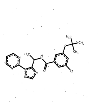 CC(NC(=O)c1cc(Cl)cc(SC(C)(C)C)c1)c1ncnn1-c1ncccn1